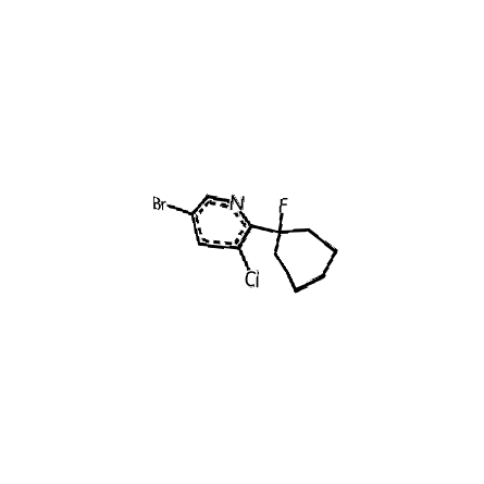 FC1(c2ncc(Br)cc2Cl)CCCCC1